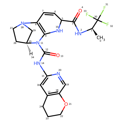 C[C@@H](NC(=O)C1C=CC2=C(N1)N(C(=O)Nc1cc3c(cn1)OCCC3)[C@H]1CCN2C1)C(F)(F)F